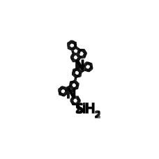 C[SiH2]c1ccc(-n2c3ccccc3c3cc(-c4ccc5c(c4)c4ccccc4n5-c4ccc5c6c(cccc46)-c4ccccc4-5)ccc32)cc1